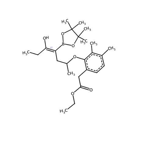 CCOC(=O)Cc1ccc(C)c(C)c1OC(C)C/C(B1OC(C)(C)C(C)(C)O1)=C(/O)CC